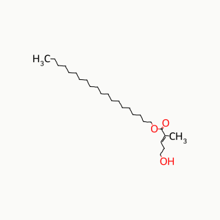 CCCCCCCCCCCCCCCCCCCCOC(=O)C(C)=CCCO